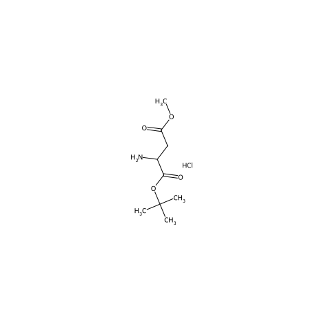 COC(=O)CC(N)C(=O)OC(C)(C)C.Cl